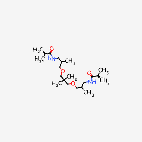 C=C(C)C(=O)NCC(C)COCC(C)(C)COCC(C)CNC(=O)C(=C)C